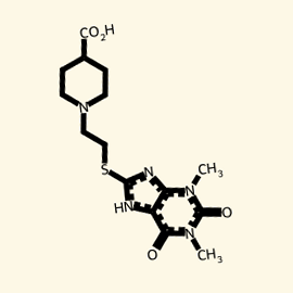 Cn1c(=O)c2[nH]c(SCCN3CCC(C(=O)O)CC3)nc2n(C)c1=O